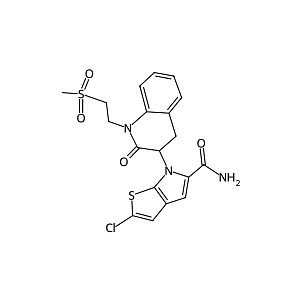 CS(=O)(=O)CCN1C(=O)C(n2c(C(N)=O)cc3cc(Cl)sc32)Cc2ccccc21